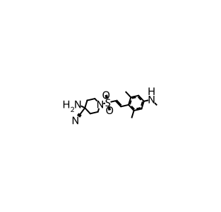 CNc1cc(C)c(C=CS(=O)(=O)N2CCC(N)(C#N)CC2)c(C)c1